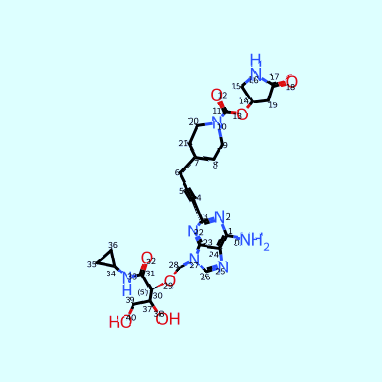 Nc1nc(C#CCC2CCN(C(=O)OC3CNC(=O)C3)CC2)nc2c1ncn2CO[C@H](C(=O)NC1CC1)C(O)CO